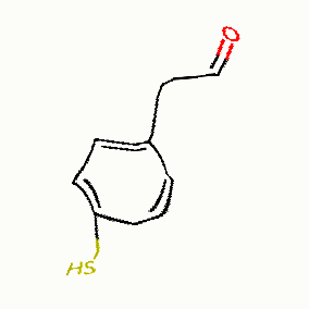 O=CCc1ccc(S)cc1